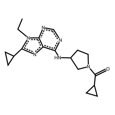 CCn1c(C2CC2)nc2c(NC3CCN(C(=O)C4CC4)C3)ncnc21